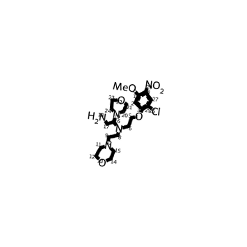 COc1cc(OCCN(CCN2CCOCC2)C(CN)N2CCOCC2)c(Cl)cc1[N+](=O)[O-]